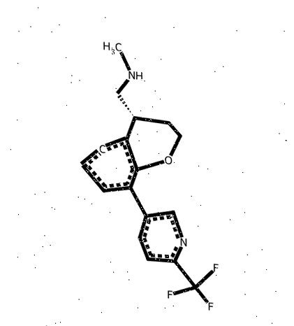 CNC[C@@H]1CCOc2c(-c3ccc(C(F)(F)F)nc3)cccc21